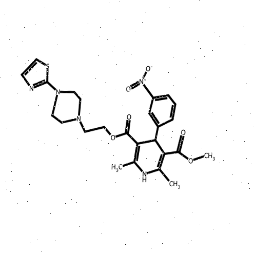 COC(=O)C1=C(C)NC(C)=C(C(=O)OCCN2CCN(c3nccs3)CC2)C1c1cccc([N+](=O)[O-])c1